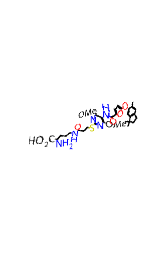 COc1nc(SCCC(=O)NCCC[C@@H](N)C(=O)O)nc(OC)c1NC(=O)c1ccc(Oc2cc3c(cc2C)CCC3(C)C)o1